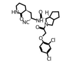 N#C[C@H](C[C@@H]1CCCNC1=O)NC(=O)[C@@H]1[C@H]2CCCC2CN1C(=O)COc1ccc(Cl)cc1Cl